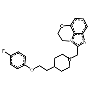 Fc1ccc(OCCC2CCN(Cc3nc4cccc5c4n3CCO5)CC2)cc1